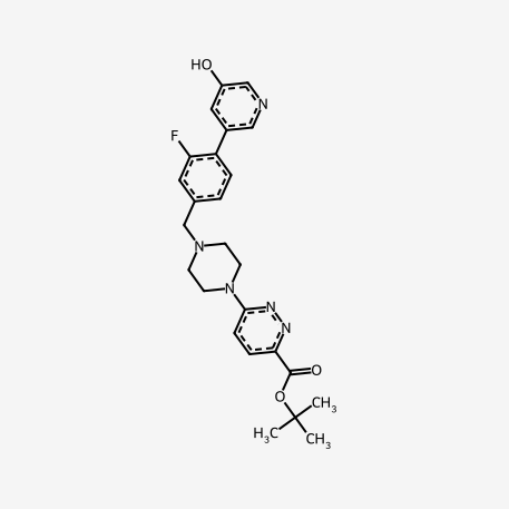 CC(C)(C)OC(=O)c1ccc(N2CCN(Cc3ccc(-c4cncc(O)c4)c(F)c3)CC2)nn1